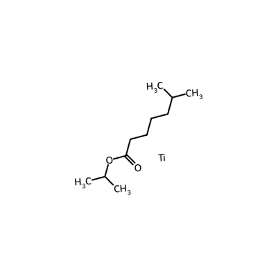 CC(C)CCCCC(=O)OC(C)C.[Ti]